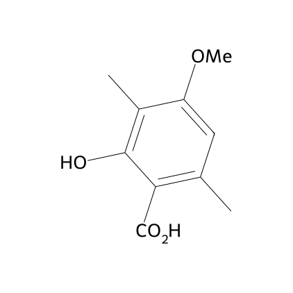 COc1cc(C)c(C(=O)O)c(O)c1C